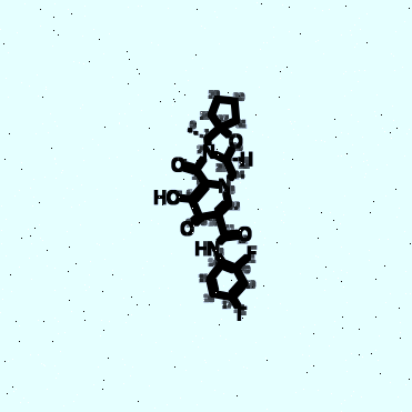 C[C@H]1N2C(=O)c3c(O)c(=O)c(C(=O)Nc4ccc(F)cc4F)cn3C[C@@H]2OC12CCCC2